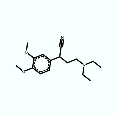 CCN(CC)CCC(C#N)c1ccc(OC)c(OC)c1